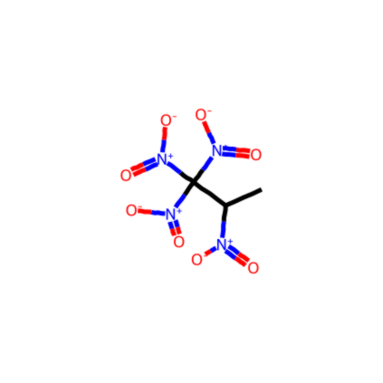 CC([N+](=O)[O-])C([N+](=O)[O-])([N+](=O)[O-])[N+](=O)[O-]